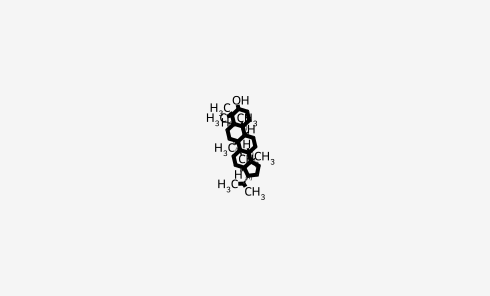 CC(C)[C@H]1CC[C@]2(C)[C@H]3CC[C@@H]4[C@@]5(C)CCC(O)C(C)(C)[C@@H]5CC[C@@]4(C)[C@]3(C)CC[C@@H]12